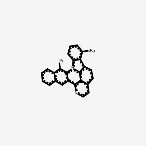 CC(C)c1c2ccccc2cc2c3nccc4ccc5c6c(C(C)(C)C)cccc6n(c12)c5c43